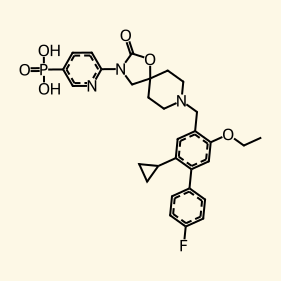 CCOc1cc(-c2ccc(F)cc2)c(C2CC2)cc1CN1CCC2(CC1)CN(c1ccc(P(=O)(O)O)cn1)C(=O)O2